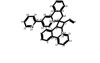 C=CC1C2C(c3ccccc3-c3cccc[n+]32)C12Cc1ccccc1-c1cc(-c3ccccn3)cc[n+]12